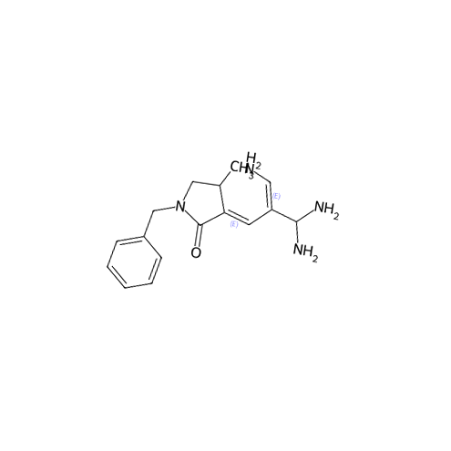 CC1CN(Cc2ccccc2)C(=O)/C1=C/C(=C\N)C(N)N